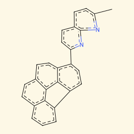 Cc1ccc2ccc(-c3ccc4c5c3ccc3ccc6cccc-4c6c35)nc2n1